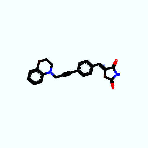 O=C1NC(=O)/C(=C/c2ccc(C#CCN3CCSc4ccccc43)cc2)S1